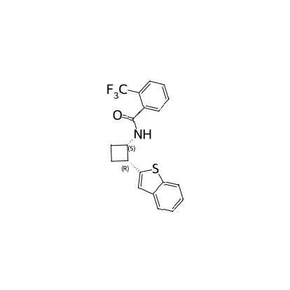 O=C(N[C@H]1CC[C@H]1c1cc2ccccc2s1)c1ccccc1C(F)(F)F